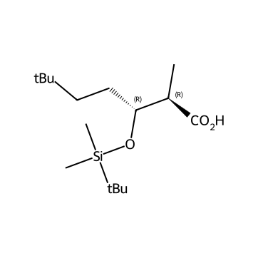 C[C@@H](C(=O)O)[C@@H](CCC(C)(C)C)O[Si](C)(C)C(C)(C)C